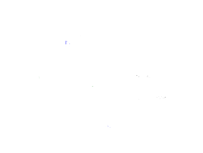 CCOC(=O)C(=O)Nc1cc(Br)c(Oc2ccc3[nH]cc(CC(NC(C)=O)C(=O)OC)c3c2)c(Br)c1